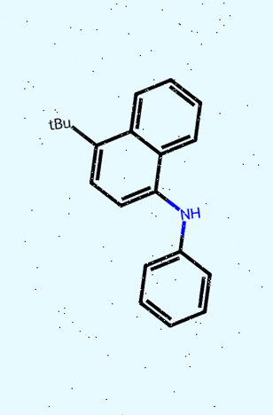 CC(C)(C)c1ccc(Nc2ccccc2)c2ccccc12